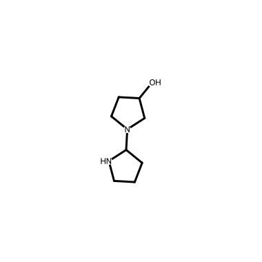 OC1CCN(C2CCCN2)C1